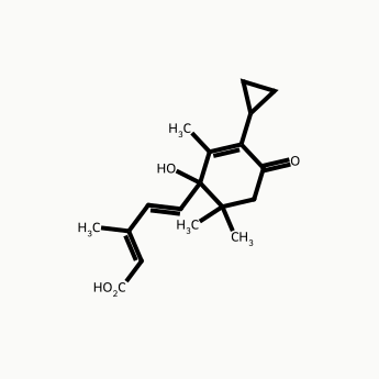 CC(C=CC1(O)C(C)=C(C2CC2)C(=O)CC1(C)C)=CC(=O)O